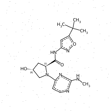 CNc1nccc(N2C[C@H](O)C[C@H]2C(=O)Nc2cc(C(C)(C)C)on2)n1